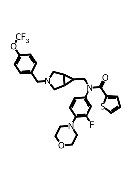 O=C(c1cccs1)N(CC1C2CN(Cc3ccc(OC(F)(F)F)cc3)CC21)c1ccc(N2CCOCC2)c(F)c1